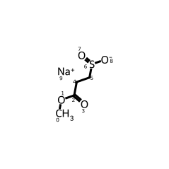 COC(=O)CCS(=O)[O-].[Na+]